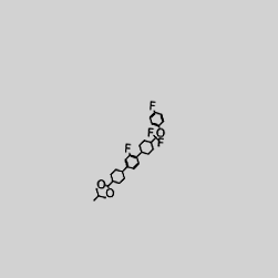 CC1COC(C2CCC(c3ccc(C4CCC(C(F)(F)Oc5ccc(F)cc5)CC4)c(F)c3)CC2)OC1